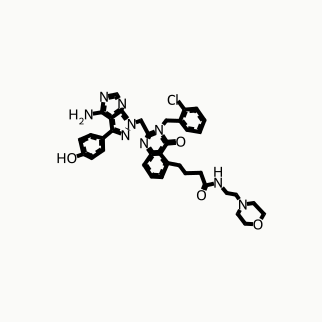 Nc1ncnc2c1c(-c1ccc(O)cc1)nn2Cc1nc2cccc(CCCC(=O)NCCN3CCOCC3)c2c(=O)n1Cc1ccccc1Cl